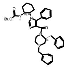 CC(C)COC(=O)N[C@H]1CCCC[C@@H]1n1cnc(C(=O)N2CCN(Cc3ccccc3)C[C@H]2Cc2ccccc2)c1-c1ccccc1